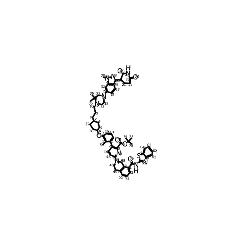 Cc1c(OC2CCC(CCCN3CCN(c4ccc5c(C6CCC(=O)NC6=O)nn(C)c5c4)CC3(C)C)CC2)cccc1-c1ccc(N2CCc3cccc(C(=O)Nc4nc5ccccc5s4)c3C2)nc1C(=O)OC(C)(C)C